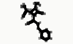 NN1C(=O)[C@@H](C(=O)OCc2ccccc2)[C@H]1C(=O)O